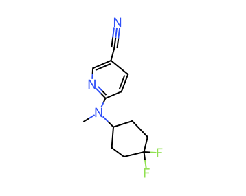 CN(c1ccc(C#N)cn1)C1CCC(F)(F)CC1